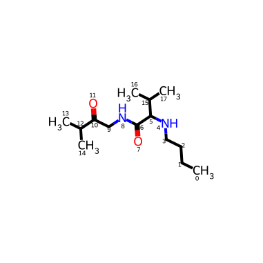 CCCCNC(C(=O)NCC(=O)C(C)C)C(C)C